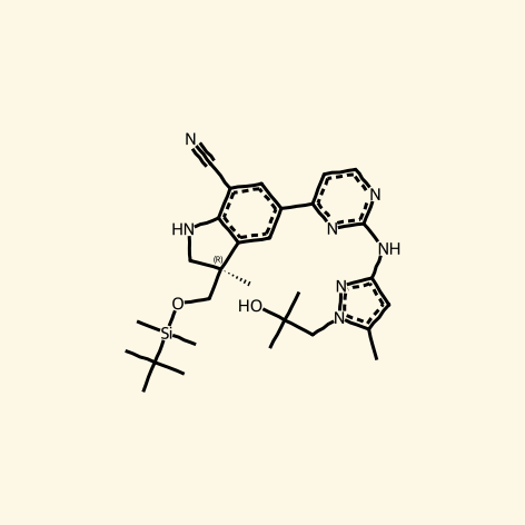 Cc1cc(Nc2nccc(-c3cc(C#N)c4c(c3)[C@@](C)(CO[Si](C)(C)C(C)(C)C)CN4)n2)nn1CC(C)(C)O